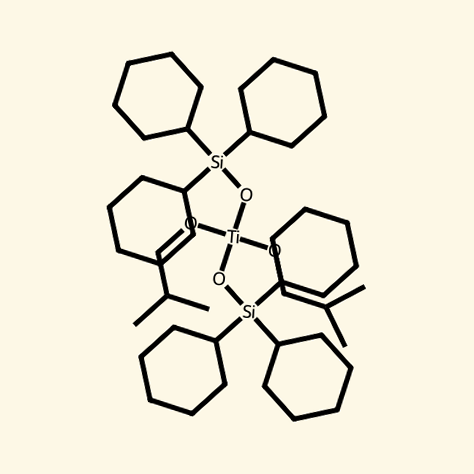 CC(C)C[O][Ti]([O]CC(C)C)([O][Si](C1CCCCC1)(C1CCCCC1)C1CCCCC1)[O][Si](C1CCCCC1)(C1CCCCC1)C1CCCCC1